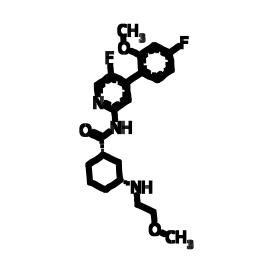 COCCN[C@@H]1CCC[C@H](C(=O)Nc2cc(-c3ccc(F)cc3OC)c(F)cn2)C1